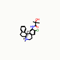 CN1CCc2cc(Cl)c(NC(=O)C(C)(C)O)cc2[C@H]2c3ccccc3CC[C@@H]21